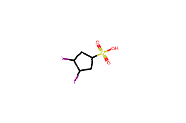 O=S(=O)(O)C1CC(I)C(I)C1